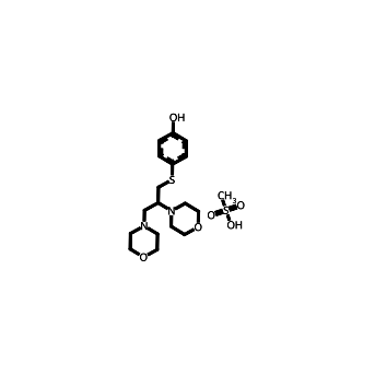 CS(=O)(=O)O.Oc1ccc(SCC(CN2CCOCC2)N2CCOCC2)cc1